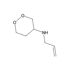 C=CCNC1CCOOC1